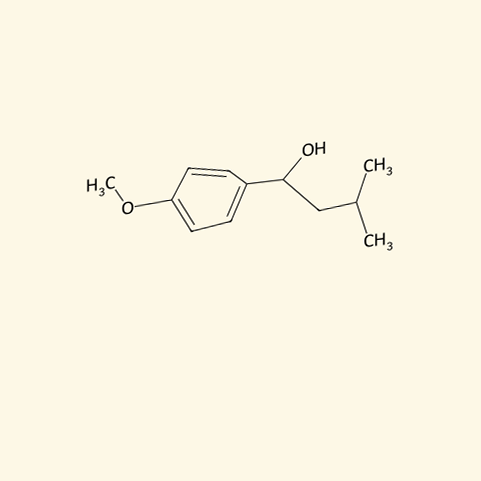 COc1ccc(C(O)CC(C)C)cc1